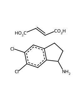 NC1CCc2cc(Cl)c(Cl)cc21.O=C(O)C=CC(=O)O